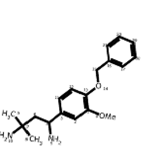 COc1cc(C(N)CC(C)(C)N)ccc1OCc1ccccc1